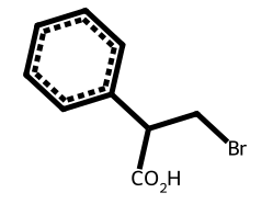 O=C(O)C(CBr)c1ccccc1